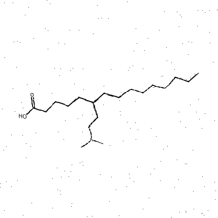 CCCCCCCCCC(CCCCC(=O)O)CCN(C)C